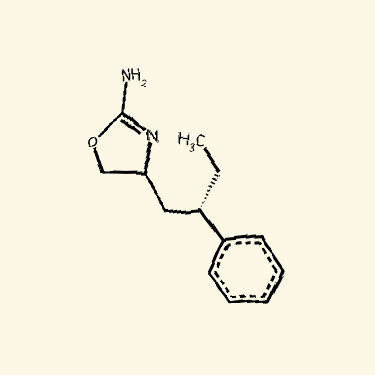 CC[C@@H](CC1COC(N)=N1)c1ccccc1